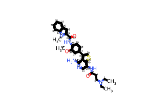 CCN(CC)CCC(=O)Nc1cnc(N)c2c(-c3ccc(NC(=O)c4cc5ccccc5n4C)c(OC)c3)csc12